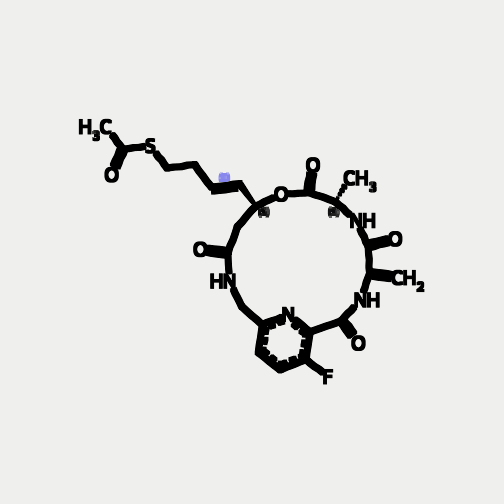 C=C1NC(=O)c2nc(ccc2F)CNC(=O)C[C@@H](/C=C/CCSC(C)=O)OC(=O)[C@H](C)NC1=O